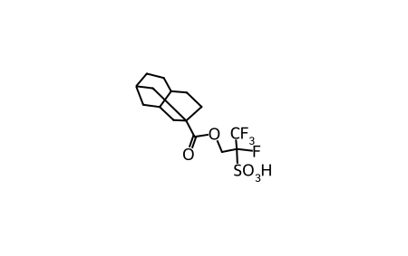 O=C(OCC(F)(C(F)(F)F)S(=O)(=O)O)C12CCC3CCC(CC3C1)C2